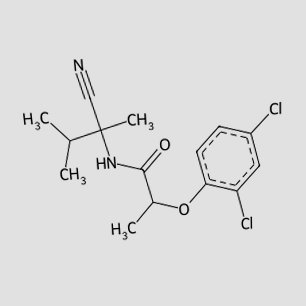 CC(Oc1ccc(Cl)cc1Cl)C(=O)NC(C)(C#N)C(C)C